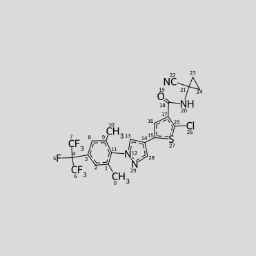 Cc1cc(C(F)(C(F)(F)F)C(F)(F)F)cc(C)c1-n1cc(-c2cc(C(=O)NC3(C#N)CC3)c(Cl)s2)cn1